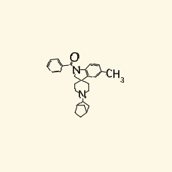 Cc1ccc2c(c1)C1(CCN(C3CC4CCC3C4)CC1)CN2C(=O)c1ccccc1